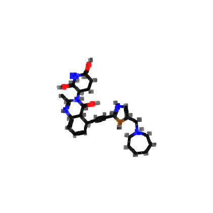 CC1=NC2=CC=CC(C#Cc3ncc(CN4CCCCCC4)s3)C2C(=O)N1C1CCC(=O)NC1=O